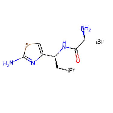 CC[C@H](C)[C@H](N)C(=O)N[C@@H](CC(C)C)c1csc(N)n1